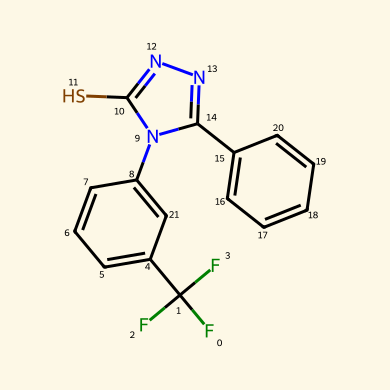 FC(F)(F)c1cccc(-n2c(S)nnc2-c2ccccc2)c1